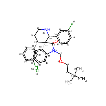 C[Si](C)(C)CCOCN1C(=O)[C@]2(c3ccc(Cl)cc31)[C@@H](c1cccc(F)c1)NCC[C@H]2c1cccc(Cl)c1